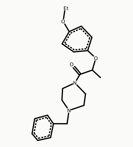 CCOc1ccc(OC(C)C(=O)N2CCN(Cc3ccccc3)CC2)cc1